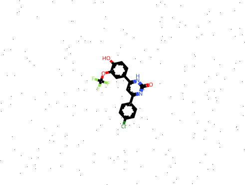 O=c1nc(-c2ccc(Cl)cc2)cc(-c2ccc(O)c(OC(F)(F)F)c2)[nH]1